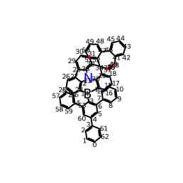 c1ccc(-c2cc(-c3ccccc3)c(B3c4cccc5c4-n4c6c3cccc6c3cccc(c34)C53c4ccccc4-c4ccccc4-c4ccccc43)c(-c3ccccc3)c2)cc1